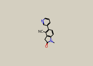 CN1C(=O)Cc2c1ccc(-c1cccnc1)c2C#N